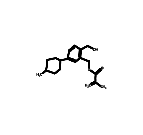 C=C(C)C(=O)OCc1cc(C2CCC(C)CC2)ccc1CO